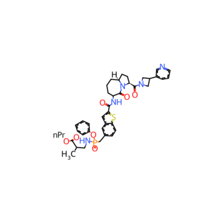 CCCOC(=O)C(C)CNP(=O)(Cc1ccc2sc(C(=O)NC3CCC[C@H]4CC[C@@H](C(=O)N5CC(c6cccnc6)C5)N4C3=O)cc2c1)Oc1ccccc1